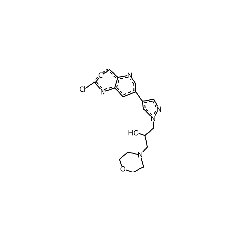 OC(CN1CCOCC1)Cn1cc(-c2cnc3ccc(Cl)nc3c2)cn1